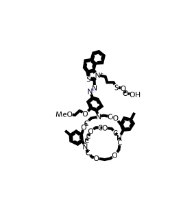 COCCOc1cc(/N=N/c2sc3ccc4ccccc4c3[n+]2CCCSOOO)ccc1N1CCOc2cc(C)ccc2N2CCOCCOCCN(CCOCCOCC2)c2ccc(C)cc2OCC1